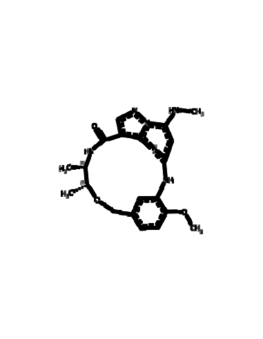 CNc1cc2nc3c(cnn13)C(=O)N[C@H](C)[C@@H](C)OCc1ccc(OC)c(c1)N2